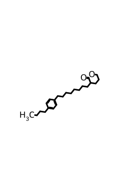 CCCCc1ccc(CCCCCCCCC2CCCOC2=O)cc1